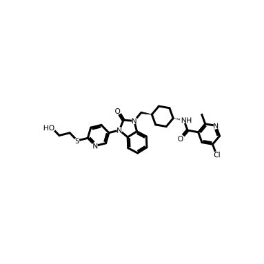 Cc1ncc(Cl)cc1C(=O)N[C@H]1CC[C@H](Cn2c(=O)n(-c3ccc(SCCO)nc3)c3ccccc32)CC1